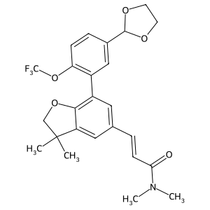 CN(C)C(=O)C=Cc1cc(-c2cc(C3OCCO3)ccc2OC(F)(F)F)c2c(c1)C(C)(C)CO2